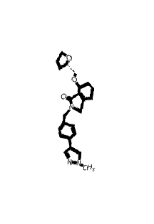 Cn1cc(-c2ccc(CN3Cc4cccc(OC[C@@H]5CCCO5)c4C3=O)cc2)cn1